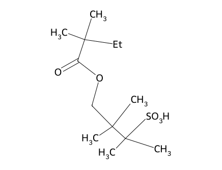 CCC(C)(C)C(=O)OCC(C)(C)C(C)(C)S(=O)(=O)O